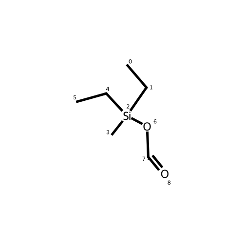 CC[Si](C)(CC)O[C]=O